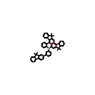 CC1(C)c2ccccc2-c2ccc(-c3cccc(N(c4ccc5c(c4)C(C)(C)c4ccccc4-5)c4ccccc4-c4cccc5c4-c4ccccc4C5(C)C)c3)cc21